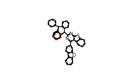 c1ccc(C23c4ccccc4C(c4nc(-c5ccc6c(c5)oc5ccccc56)c5c(n4)sc4ccccc45)(c4ccccc42)c2ccccc23)cc1